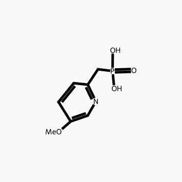 COc1ccc(CP(=O)(O)O)nc1